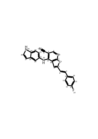 N#Cc1cnc2sc(/C=C/c3ccc(F)cc3)cc2c1Nc1ccc2[nH]ccc2c1